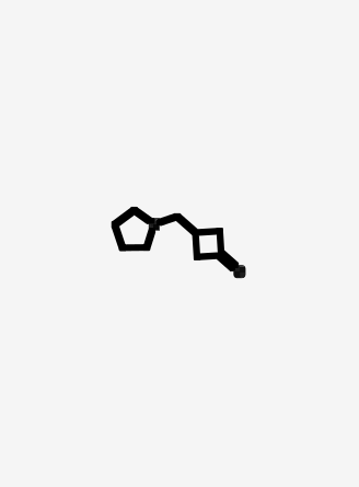 O=C1CC(CN2CCCC2)C1